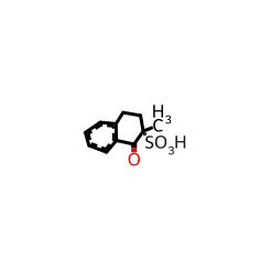 CC1(S(=O)(=O)O)CCc2ccccc2C1=O